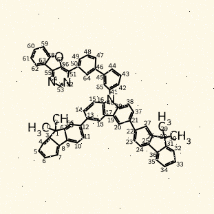 CC1(C)c2ccccc2-c2ccc(-c3ccc4c(c3)c3cc(-c5ccc6c(c5)C(C)(C)c5ccccc5-6)ccc3n4-c3cccc(-c4cccc(-c5ncnc6c5oc5ccccc56)c4)c3)cc21